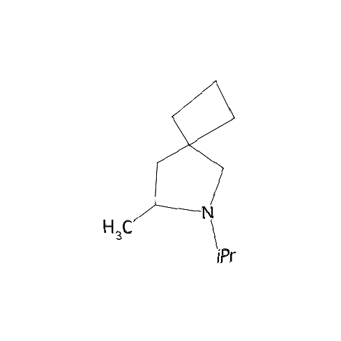 CC(C)N1CC2(CCC2)CC1C